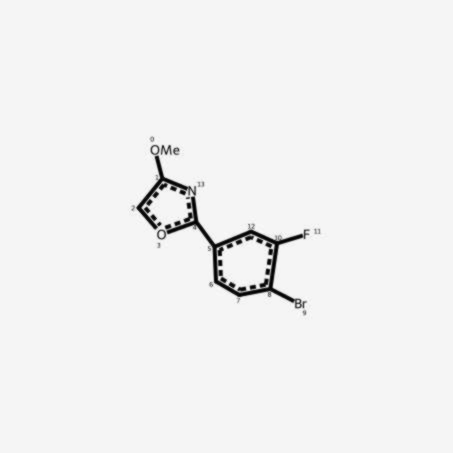 COc1coc(-c2ccc(Br)c(F)c2)n1